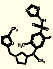 Cc1cc(S(=O)(=O)Nc2cscn2)c(F)cc1N(C)C1CCN(Cc2ccc(C(F)(F)F)o2)C1